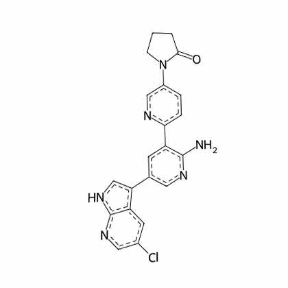 Nc1ncc(-c2c[nH]c3ncc(Cl)cc23)cc1-c1ccc(N2CCCC2=O)cn1